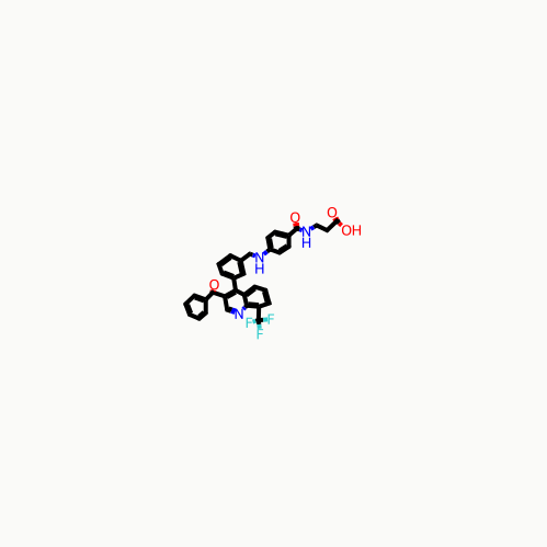 O=C(O)CCNC(=O)c1ccc(NCc2cccc(-c3c(C(=O)c4ccccc4)cnc4c(C(F)(F)F)cccc34)c2)cc1